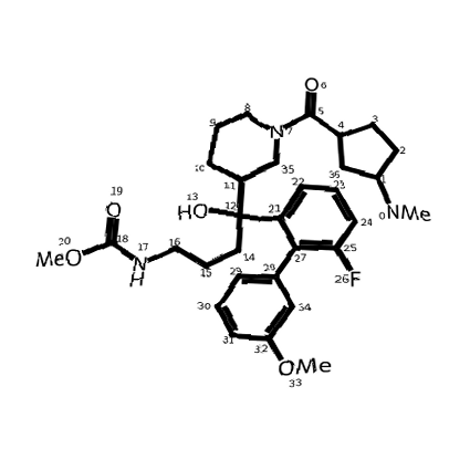 CNC1CCC(C(=O)N2CCCC(C(O)(CCCNC(=O)OC)c3cccc(F)c3-c3cccc(OC)c3)C2)C1